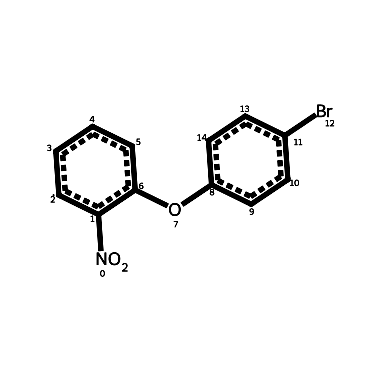 O=[N+]([O-])c1[c]cccc1Oc1ccc(Br)cc1